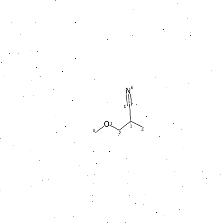 COC[C](C)C#N